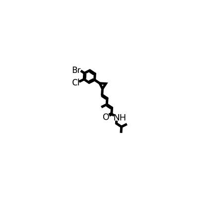 CC(/C=C/C1CC1c1ccc(Br)c(Cl)c1)=C\C(=O)NCC(C)C